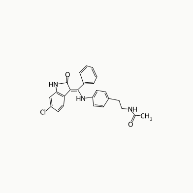 CC(=O)NCCc1ccc(NC(=C2C(=O)Nc3cc(Cl)ccc32)c2ccccc2)cc1